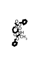 CC(N[C@H]1CCCCN(C(C=O)OCc2ccccc2)C1=O)C(=O)OCc1ccccc1